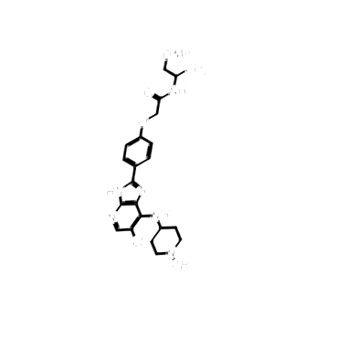 COCC(C)NC(=O)COc1ccc(-c2nc3c(NC4CCN(C)CC4)c(Cl)cnc3[nH]2)cc1